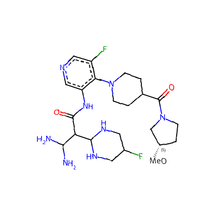 CO[C@H]1CCN(C(=O)C2CCN(c3c(F)cncc3NC(=O)C(C(N)N)C3NCC(F)CN3)CC2)C1